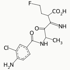 CC(NC(=O)c1ccc(N)c(Cl)c1)C(=O)C(=N)C(CCF)C(=O)O